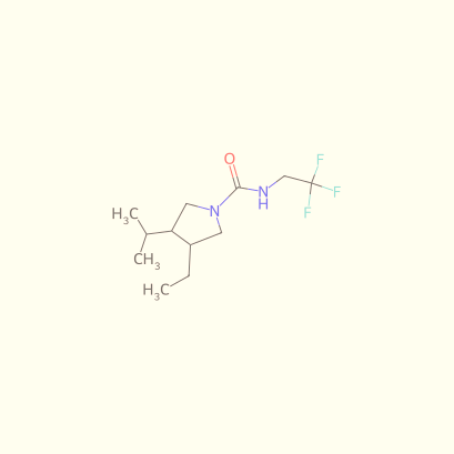 CCC1CN(C(=O)NCC(F)(F)F)CC1C(C)C